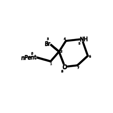 CCCCCCC1(Br)CNCCO1